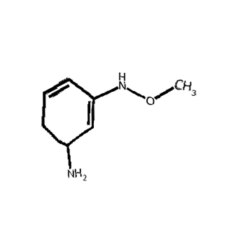 CONC1=CC(N)CC=C1